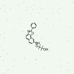 CC(C)(O)C(C)(C)OBc1ccc2ccc3nc(-c4ccccc4)oc3c2c1